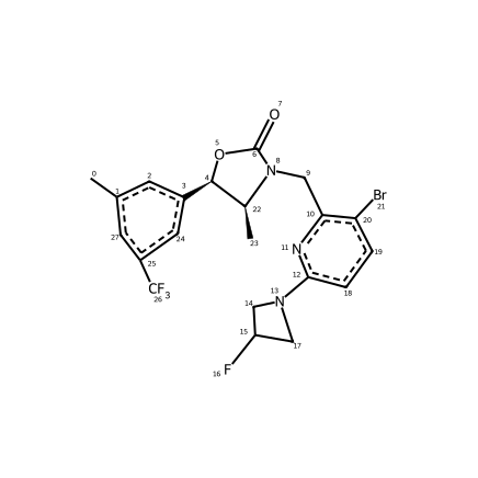 Cc1cc([C@H]2OC(=O)N(Cc3nc(N4CC(F)C4)ccc3Br)[C@H]2C)cc(C(F)(F)F)c1